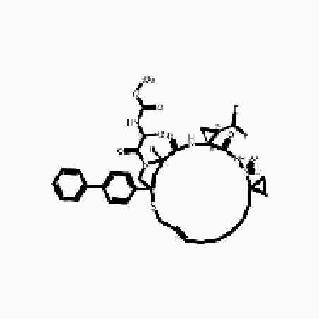 CC(C)(C)OC(=O)N[C@H](C(=O)N1C[C@]2(c3ccc(-c4ccccc4)cc3)C[C@H]1C(=O)N[C@@]1(C[C@H]1C(F)F)C(=O)NS(=O)(=O)C1(CCCCC/C=C/CS2)CC1)C(C)(C)C